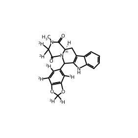 [2H]c1c([2H])c(C2c3[nH]c4ccccc4c3C[C@@H]3C(=O)N(C)C([2H])([2H])C(=O)N23)c([2H])c2c1OC([2H])([2H])O2